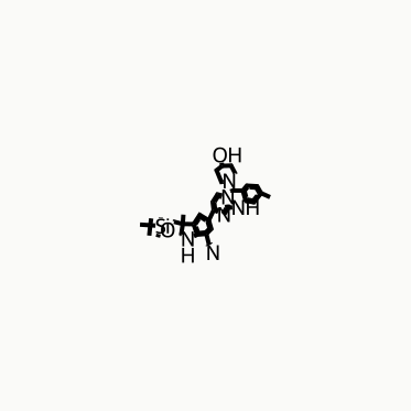 Cc1ccc(CN2CCC(O)CC2)c(Nc2nccc(-c3cc(C#N)c4c(c3)C(C)(CO[Si](C)(C)C(C)(C)C)CN4)n2)c1